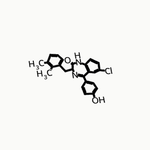 Cc1cccc(CC2N=C(c3ccc(O)cc3)c3cc(Cl)ccc3NC2=O)c1C